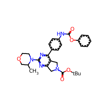 CC1COCCN1c1nc2c(c(-c3ccc(NC(=O)Oc4ccccc4)cc3)n1)CN(C(=O)OC(C)(C)C)C2